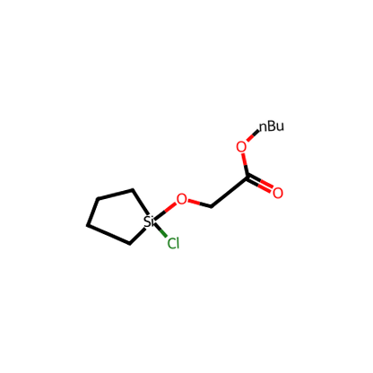 CCCCOC(=O)CO[Si]1(Cl)CCCC1